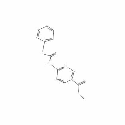 COC(=O)c1ccc(NC(=O)Oc2ccccc2)nc1